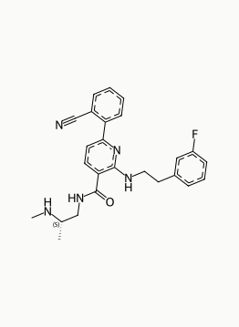 CN[C@@H](C)CNC(=O)c1ccc(-c2ccccc2C#N)nc1NCCc1cccc(F)c1